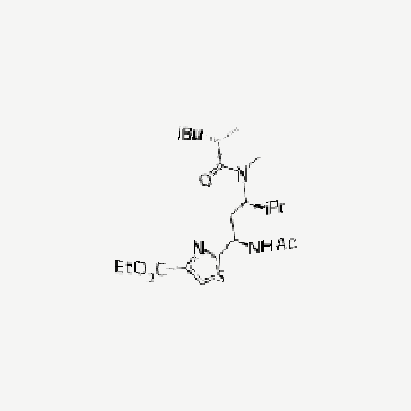 CCOC(=O)c1csc([C@@H](C[C@H](C(C)C)N(C)C(=O)[C@@H](C)[C@@H](C)CC)NC(C)=O)n1